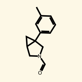 Cc1cccc(C23CC2CN(C=O)C3)c1